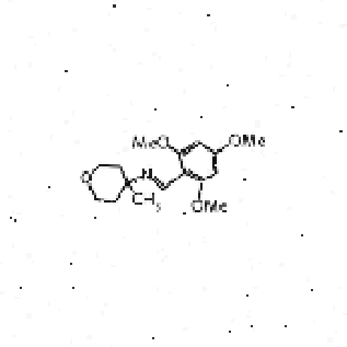 COc1cc(OC)c(C=NC2(C)CCOCC2)c(OC)c1